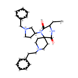 CC(C)CC1NC(=O)C2(CCN(CCc3ccccc3)CC2)N(C2CCN(Cc3ccccc3)C2)C1=O